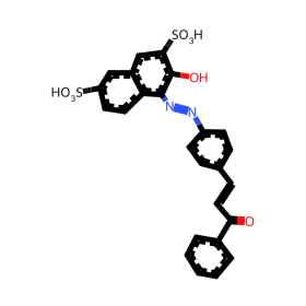 O=C(C=Cc1ccc(N=Nc2c(O)c(S(=O)(=O)O)cc3cc(S(=O)(=O)O)ccc23)cc1)c1ccccc1